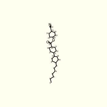 CCCCCCCC1CCC(C2CCC(C(=O)OC3CCC(C#N)CC3)CC2)CC1